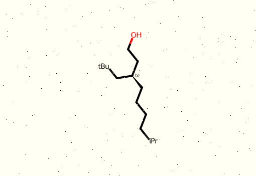 CC(C)CCCC[C@H](CCO)CC(C)(C)C